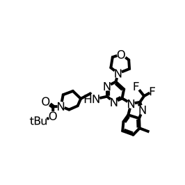 Cc1cccc2c1nc(C(F)F)n2-c1cc(N2CCOCC2)nc(NCC2CCN(C(=O)OC(C)(C)C)CC2)n1